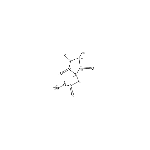 CC1C(=O)N(CC(=O)OC(C)(C)C)C(=O)C1C